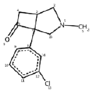 CN1CC2CC(=O)C2(c2cccc(Cl)c2)C1